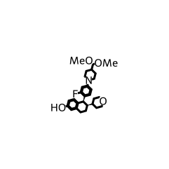 COC(OC)C1CCN(c2ccc([C@@H]3c4ccc(O)cc4CC[C@@H]3C3CCOCC3)c(F)c2)CC1